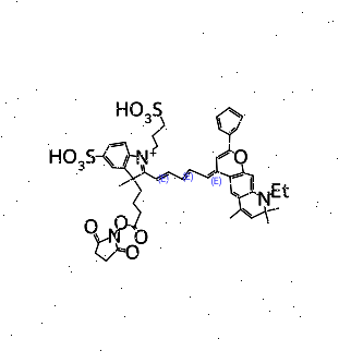 CCN1c2cc3c(cc2C(C)=CC1(C)C)/C(=C/C=C/C=C/C1=[N+](CCCS(=O)(=O)O)c2ccc(S(=O)(=O)O)cc2C1(C)CCCC(=O)ON1C(=O)CCC1=O)C=C(c1ccccc1)O3